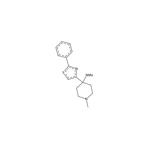 CNC1(c2csc(-c3ccccc3)n2)CCN(C)CC1